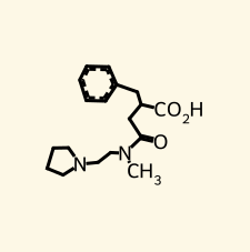 CN(CCN1CCCC1)C(=O)CC(Cc1ccccc1)C(=O)O